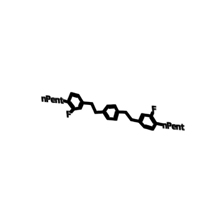 CCCCCc1ccc(CCc2ccc(CCc3ccc(CCCCC)c(F)c3)cc2)cc1F